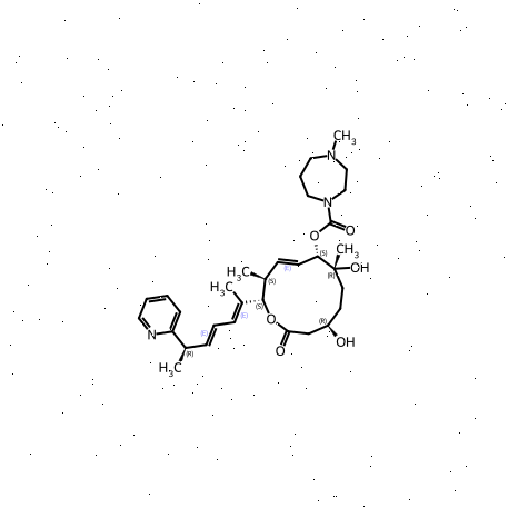 C/C(=C\C=C\[C@@H](C)c1ccccn1)[C@H]1OC(=O)C[C@H](O)CC[C@@](C)(O)[C@@H](OC(=O)N2CCCN(C)CC2)/C=C/[C@@H]1C